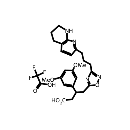 COc1cc(OC)cc(C(CC(=O)O)Cc2nc(CCCc3ccc4c(n3)NCCC4)no2)c1.O=C(O)C(F)(F)F